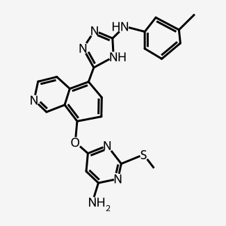 CSc1nc(N)cc(Oc2ccc(-c3nnc(Nc4cccc(C)c4)[nH]3)c3ccncc23)n1